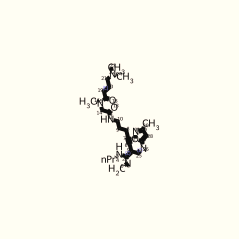 C=N/C(NCCC)=C(C#CCCCNC(=O)CN(C)C(=O)/C=C/CN(C)C)\C=N/c1cc(C)no1